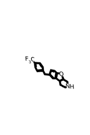 FC(F)(F)c1ccc(Cc2ccc3c(c2)C2CCNCC2O3)cc1